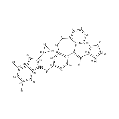 CC(=C1c2ccccc2CCc2cc(Cn3c(C4CC4)nc4c(C)cc(C)nc43)ccc21)c1nnn[nH]1